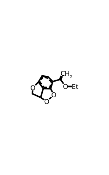 C=C(OCC)c1ccc2c3c1OOC3CO2